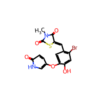 CN1C(=O)S/C(=C\c2cc(Oc3ccc(=O)[nH]c3)c(O)cc2Br)C1=O